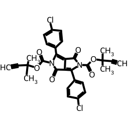 C#CC(C)(C)OC(=O)N1C(=O)C2=C(c3ccc(Cl)cc3)N(C(=O)OC(C)(C)C#C)C(=O)C2=C1c1ccc(Cl)cc1